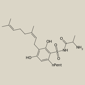 CCCCCc1cc(O)c(CC=C(C)CCC=C(C)C)c(O)c1S(=O)(=O)NC(=O)C(C)N